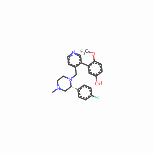 CN1CCN(Cc2ccncc2-c2cc(O)ccc2OC(F)(F)F)[C@H](c2ccc(F)cc2)C1